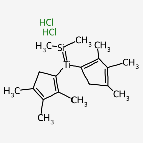 CC1=C(C)C(C)=[C]([Ti]([C]2=C(C)C(C)=C(C)C2)=[Si](C)C)C1.Cl.Cl